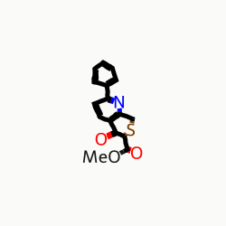 COC(=O)C1SCc2nc(-c3ccccc3)ccc2C1=O